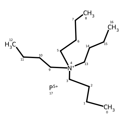 CCCC[N+](CCCC)(CCCC)CCCC.[P+5]